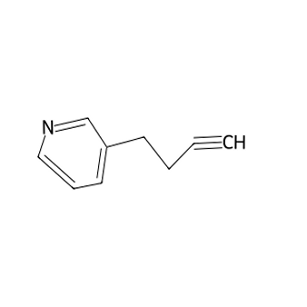 C#CCCc1cccnc1